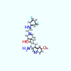 COc1ccc2ncc(CN)c(CCCC3(CO)CCN(CCNc4cc(F)cc(F)c4)CC3)c2c1